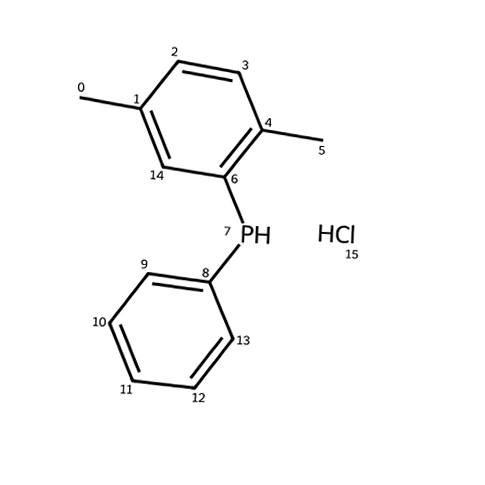 Cc1ccc(C)c(Pc2ccccc2)c1.Cl